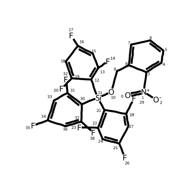 O=[N+]([O-])c1ccccc1CO[Si](c1c(F)cc(F)cc1F)(c1c(F)cc(F)cc1F)c1c(F)cc(F)cc1F